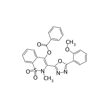 COc1ccccc1-c1nnc(C2=C(OC(=O)c3ccccc3)c3ccccc3S(=O)(=O)N2C)o1